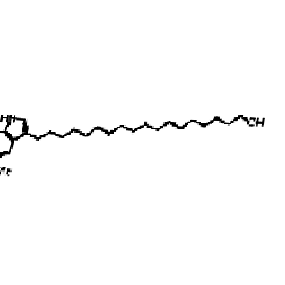 COc1ccc2[nH]cc(CCCCCCCCCCCCCCCCCCO)c2c1